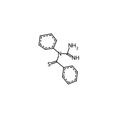 N=C(N)N(C(=S)c1ccccc1)c1ccccc1